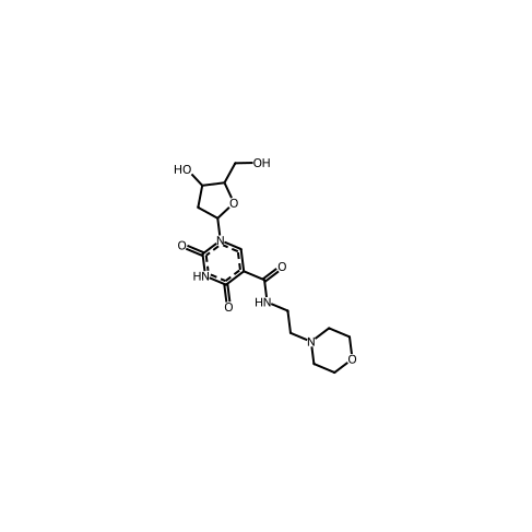 O=C(NCCN1CCOCC1)c1cn(C2CC(O)C(CO)O2)c(=O)[nH]c1=O